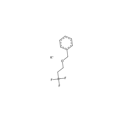 F[B-](F)(F)CCOCc1ccccc1.[K+]